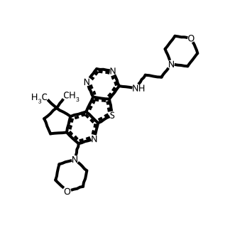 CC1(C)CCc2c(N3CCOCC3)nc3sc4c(NCCN5CCOCC5)ncnc4c3c21